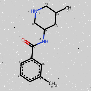 Cc1cccc(C(=O)NC2[CH]C(C)CNC2)c1